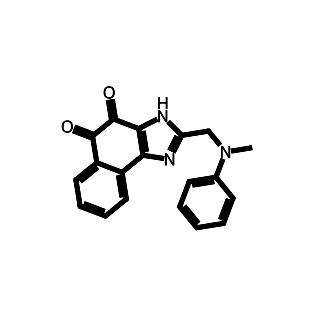 CN(Cc1nc2c([nH]1)C(=O)C(=O)c1ccccc1-2)c1ccccc1